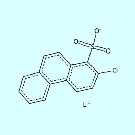 O=S(=O)([O-])c1c(Cl)ccc2c1ccc1ccccc12.[Li+]